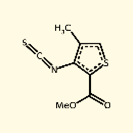 COC(=O)c1scc(C)c1N=C=S